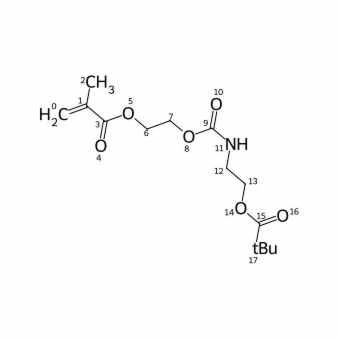 C=C(C)C(=O)OCCOC(=O)NCCOC(=O)C(C)(C)C